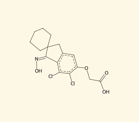 O=C(O)COc1cc2c(c(Cl)c1Cl)C(=NO)C1(CCCCC1)C2